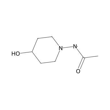 CC(=O)[N]N1CCC(O)CC1